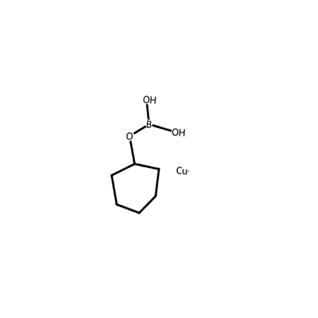 OB(O)OC1CCCCC1.[Cu]